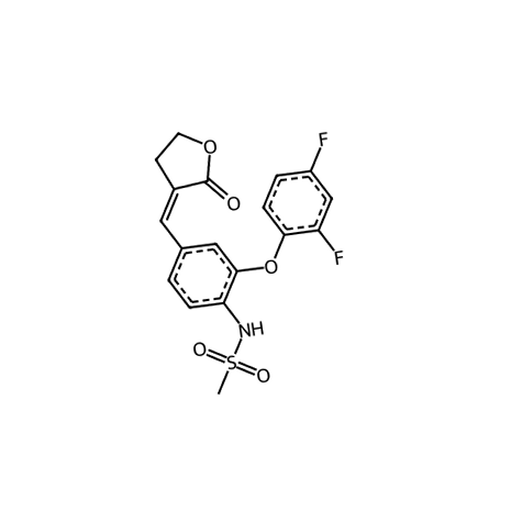 CS(=O)(=O)Nc1ccc(C=C2CCOC2=O)cc1Oc1ccc(F)cc1F